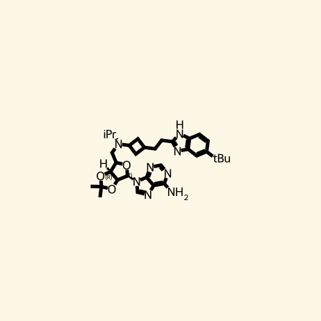 CC(C)N(CC1O[C@@H](n2cnc3c(N)ncnc32)C2OC(C)(C)O[C@H]12)C1CC(CCc2nc3cc(C(C)(C)C)ccc3[nH]2)C1